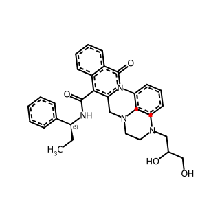 CC[C@H](NC(=O)c1c(CN2CCN(CC(O)CO)CC2)n(-c2ccccc2)c(=O)c2ccccc12)c1ccccc1